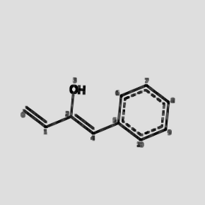 C=CC(O)=Cc1ccccc1